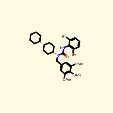 COc1cc(CN(C(=O)Nc2c(C(C)C)cccc2C(C)C)[C@H]2CC[C@@H](C3CCCCC3)CC2)cc(OC)c1OC